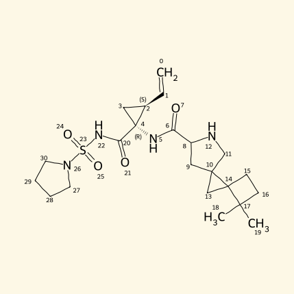 C=C[C@@H]1C[C@]1(NC(=O)C1CC2(CN1)CC21CCC1(C)C)C(=O)NS(=O)(=O)N1CCCC1